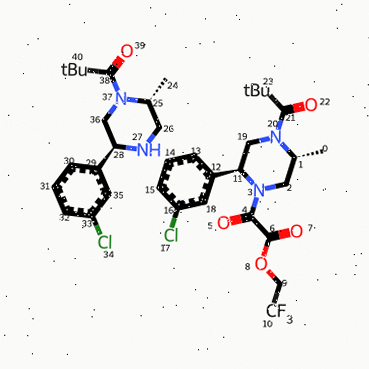 C[C@@H]1CN(C(=O)C(=O)OCC(F)(F)F)[C@@H](c2cccc(Cl)c2)CN1C(=O)C(C)(C)C.C[C@@H]1CN[C@@H](c2cccc(Cl)c2)CN1C(=O)C(C)(C)C